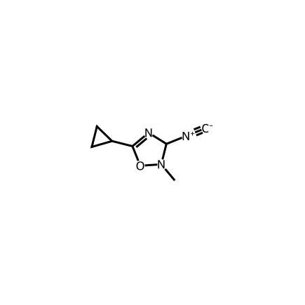 [C-]#[N+]C1N=C(C2CC2)ON1C